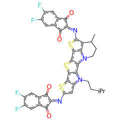 CC(C)CCn1c2cc(N=c3c(=O)c4cc(F)c(F)cc4c3=O)sc2c2sc3c4sc(N=c5c(=O)c6cc(F)c(F)cc6c5=O)c5c4n(c3c21)CCC5C